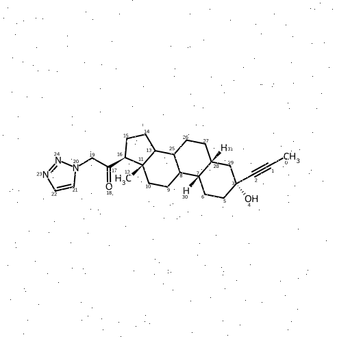 CC#C[C@@]1(O)CC[C@@H]2C3CC[C@@]4(C)C(CC[C@@H]4C(=O)Cn4ccnn4)C3CC[C@@H]2C1